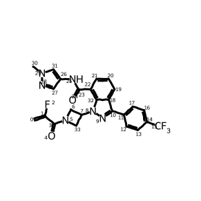 C=C(F)C(=O)N1CC(n2nc(-c3ccc(C(F)(F)F)cc3)c3cccc(C(=O)Nc4cnn(C)c4)c32)C1